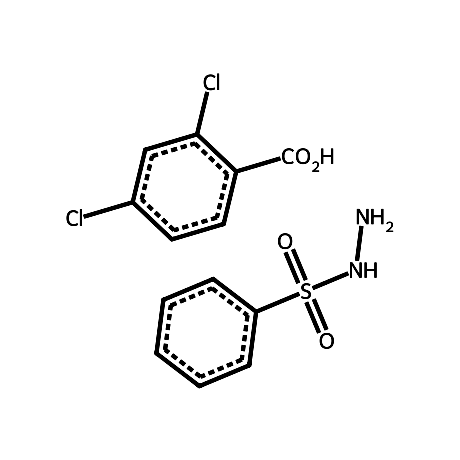 NNS(=O)(=O)c1ccccc1.O=C(O)c1ccc(Cl)cc1Cl